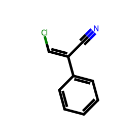 N#CC(=CCl)c1ccccc1